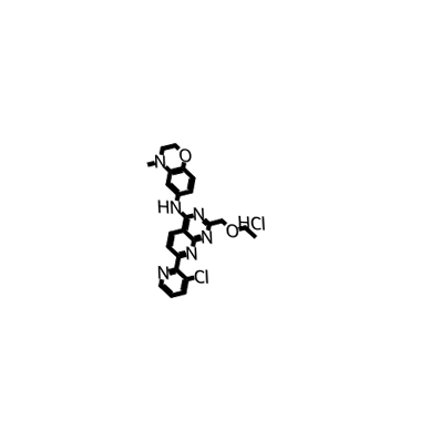 CCOCc1nc(Nc2ccc3c(c2)N(C)CCO3)c2ccc(-c3ncccc3Cl)nc2n1.Cl